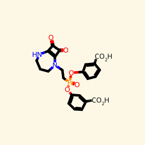 O=C(O)c1cccc(OP(=O)(CCN2CCCNc3c2c(=O)c3=O)Oc2cccc(C(=O)O)c2)c1